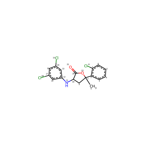 CC1(c2ccccc2Cl)CC(Nc2cc(Cl)cc(Cl)c2)C(=O)O1